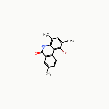 COc1cc(C)c2[nH]c(=O)c3cc(C)ccc3c2c1Br